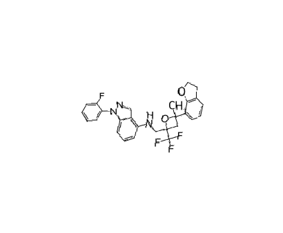 CC1(c2cccc3c2OCC3)CC(CNc2cccc3c2cnn3-c2ccccc2F)(C(F)(F)F)O1